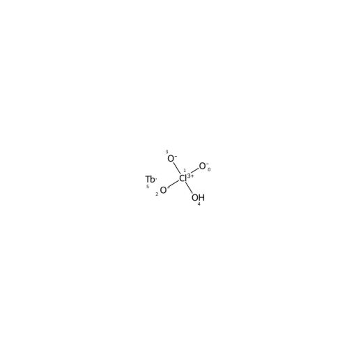 [O-][Cl+3]([O-])([O-])O.[Tb]